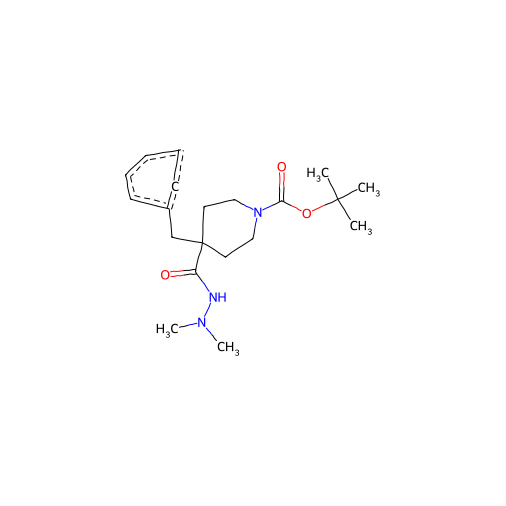 CN(C)NC(=O)C1(Cc2ccccc2)CCN(C(=O)OC(C)(C)C)CC1